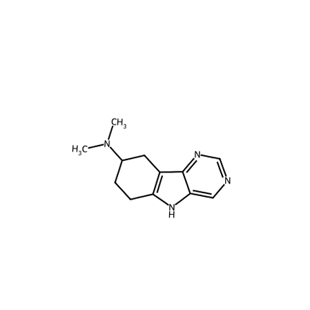 CN(C)C1CCc2[nH]c3cncnc3c2C1